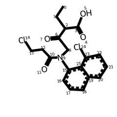 CCC(C(=O)O)C(=O)CN(C(=O)CCCl)c1cccc2cccc(Cl)c12